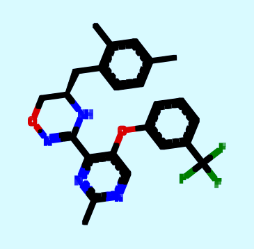 Cc1ccc(C[C@@H]2CON=C(c3nc(C)ncc3Oc3cccc(C(F)(F)F)c3)N2)c(C)c1